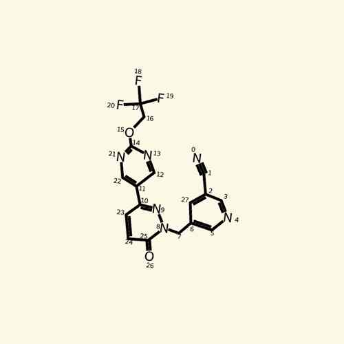 N#Cc1cncc(Cn2nc(-c3cnc(OCC(F)(F)F)nc3)ccc2=O)c1